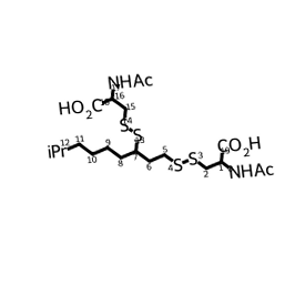 CC(=O)NC(CSSCCC(CCCCC(C)C)SSCC(NC(C)=O)C(=O)O)C(=O)O